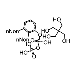 CCCCCCCCCc1cccc(OP(=O)(O)OP(=O)(O)O)c1CCCCCCCCC.OCC(CO)(CO)CO